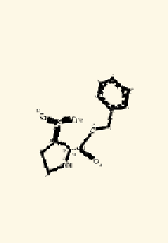 O=C(OCc1ccccc1)[C@@H]1NCCC1=S(=O)=O